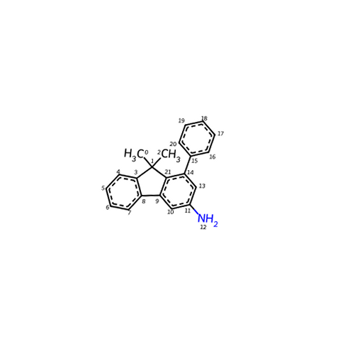 CC1(C)c2ccccc2-c2cc(N)cc(-c3ccccc3)c21